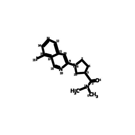 CN(C)C(=O)C1CCN(c2cc3cccc(I)c3cn2)C1